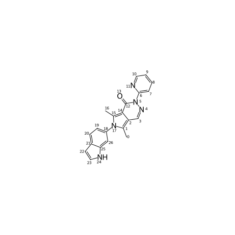 Cc1c2cnn(-c3ccccn3)c(=O)c2c(C)n1-c1ccc2cc[nH]c2c1